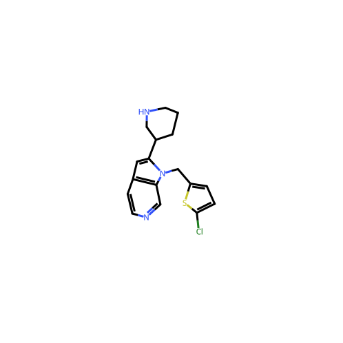 Clc1ccc(Cn2c(C3CCCNC3)cc3ccncc32)s1